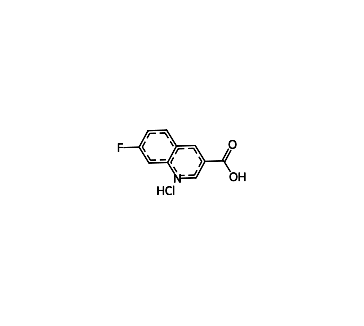 Cl.O=C(O)c1cnc2cc(F)ccc2c1